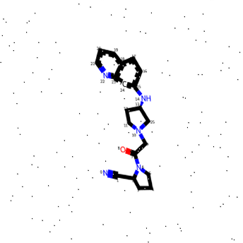 N#CC1CCCN1C(=O)CN1CC[C@@H](Nc2ccc3cccnc3c2)C1